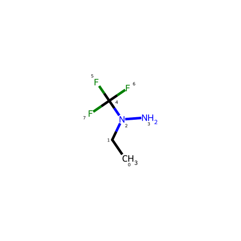 CCN(N)C(F)(F)F